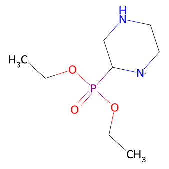 CCOP(=O)(OCC)C1CNCC[N]1